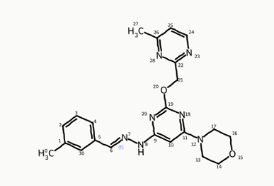 Cc1cccc(/C=N/Nc2cc(N3CCOCC3)nc(OCc3nccc(C)n3)n2)c1